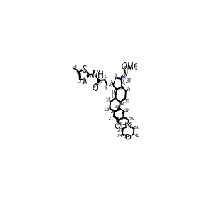 CO/N=C1\C[C@@H](CCC(=O)Nc2ncc(C)s2)C2C3CCc4cc(O)c(CN5CCOCC5)cc4C3CC[C@]12C